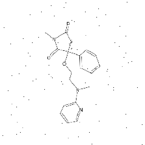 CN1C(=O)SC(OCCN(C)c2ccccn2)(c2ccccc2)C1=O